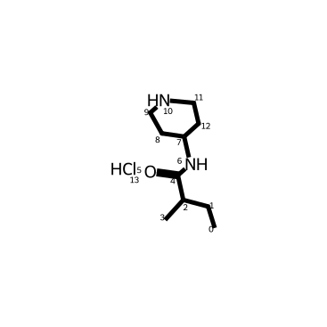 CCC(C)C(=O)NC1CCNCC1.Cl